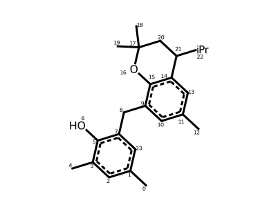 Cc1cc(C)c(O)c(Cc2cc(C)cc3c2OC(C)(C)CC3C(C)C)c1